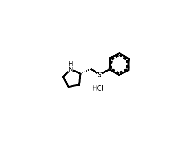 Cl.c1ccc(SC[C@@H]2CCCN2)cc1